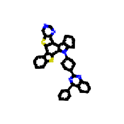 c1ccc(-c2nc(-c3ccc(-n4c5ccccc5c5c6c7ncncc7sc6c6c7ccccc7sc6c54)cc3)nc3ccccc23)cc1